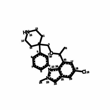 CC(OCC1(c2ccccc2)CCNCC1)c1cc(Cl)cc2cn(C)nc12